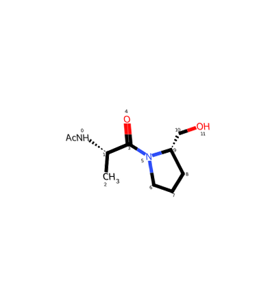 CC(=O)N[C@@H](C)C(=O)N1CCC[C@H]1CO